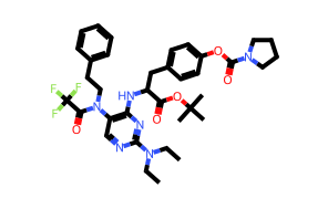 CCN(CC)c1ncc(N(CCc2ccccc2)C(=O)C(F)(F)F)c(NC(Cc2ccc(OC(=O)N3CCCC3)cc2)C(=O)OC(C)(C)C)n1